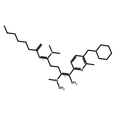 C=C(/C=C(/CC/C(=C(/N)c1ccc(CC2CCCCC2)c(C)n1)N(C)N)N(C)C)CCCCCC